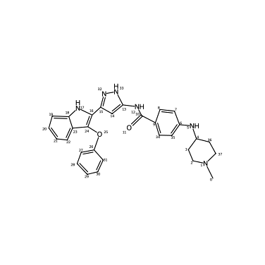 CN1CCC(Nc2ccc(C(=O)Nc3cc(-c4[nH]c5ccccc5c4Oc4ccccc4)n[nH]3)cc2)CC1